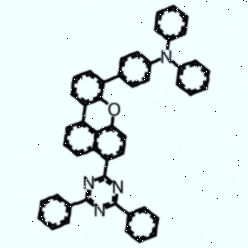 c1ccc(-c2nc(-c3ccccc3)nc(-c3ccc4c5c(cccc35)-c3cccc(-c5ccc(N(c6ccccc6)c6ccccc6)cc5)c3O4)n2)cc1